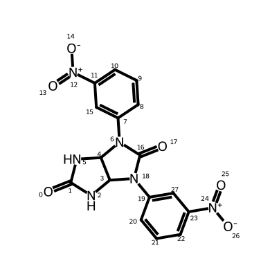 O=C1NC2C(N1)N(c1cccc([N+](=O)[O-])c1)C(=O)N2c1cccc([N+](=O)[O-])c1